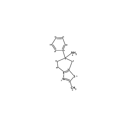 Cc1nc2c(s1)CC(N)(c1ccccc1)CC2